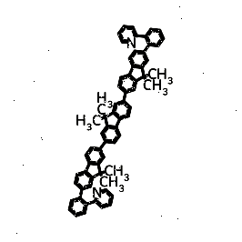 CC1(C)c2cc(-c3ccc4c(c3)C(C)(C)c3cc(-c5ccccc5-c5ccccn5)ccc3-4)ccc2-c2ccc(-c3ccc4c(c3)C(C)(C)c3cc(-c5ccccc5-c5ccccn5)ccc3-4)cc21